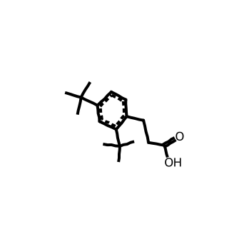 CC(C)(C)c1ccc(CCC(=O)O)c(C(C)(C)C)c1